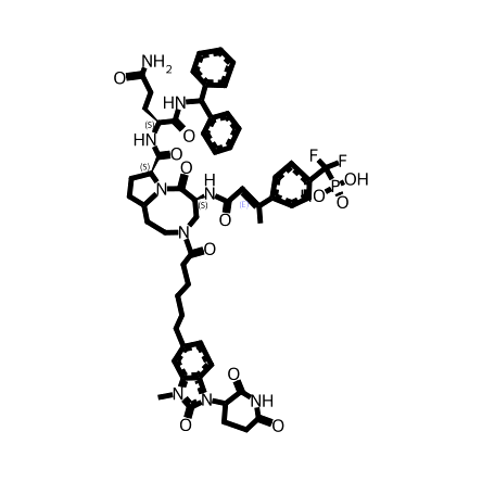 C/C(=C\C(=O)N[C@H]1CN(C(=O)CCCCCc2ccc3c(c2)n(C)c(=O)n3C2CCC(=O)NC2=O)CCC2CC[C@@H](C(=O)N[C@@H](CCC(N)=O)C(=O)NC(c3ccccc3)c3ccccc3)N2C1=O)c1ccc(C(F)(F)P(=O)(O)O)cc1